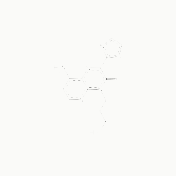 CCCCn1c(=O)c(-c2nccs2)nc2c(N)ccnc21